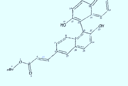 CCCCOC(=O)/C=C/c1ccc2c(-c3c(O)ccc4ccccc34)c(O)ccc2c1